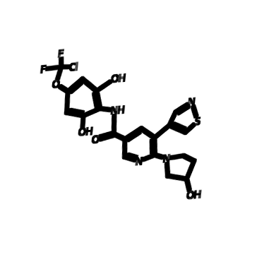 O=C(Nc1c(O)cc(OC(F)(F)Cl)cc1O)c1cnc(N2CCC(O)C2)c(-c2cnsc2)c1